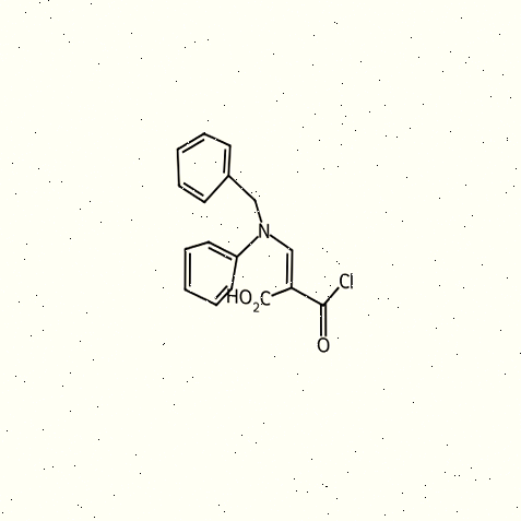 O=C(O)C(=CN(Cc1ccccc1)c1ccccc1)C(=O)Cl